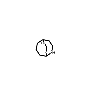 C1CC2CCNC(C1)CCN2